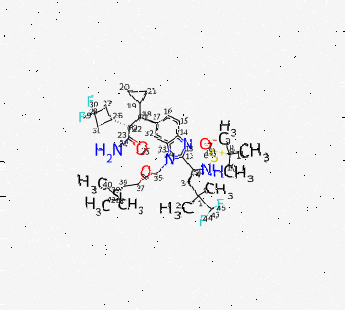 CC(C)(C[C@H](N[S@+]([O-])C(C)(C)C)c1nc2ccc([C@H](C3CC3)[C@H](C(N)=O)C3CC(F)(F)C3)cc2n1COCC[Si](C)(C)C)C(F)F